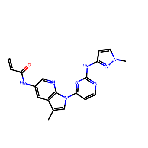 C=CC(=O)Nc1cnc2c(c1)c(C)cn2-c1ccnc(Nc2ccn(C)n2)n1